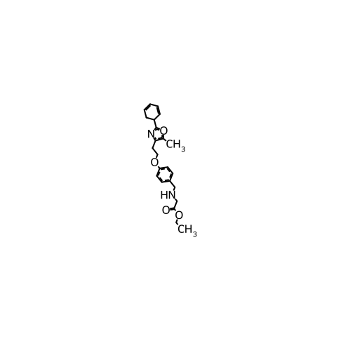 CCOC(=O)CNCc1ccc(OCCc2nc(C3C=CC=CC3)oc2C)cc1